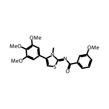 COc1cccc(C(=O)N=c2scc(-c3cc(OC)c(OC)c(OC)c3)n2C)c1